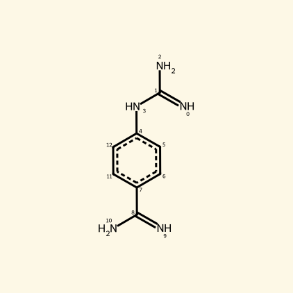 N=C(N)Nc1ccc(C(=N)N)cc1